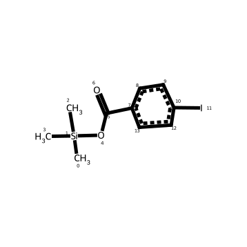 C[Si](C)(C)OC(=O)c1ccc(I)cc1